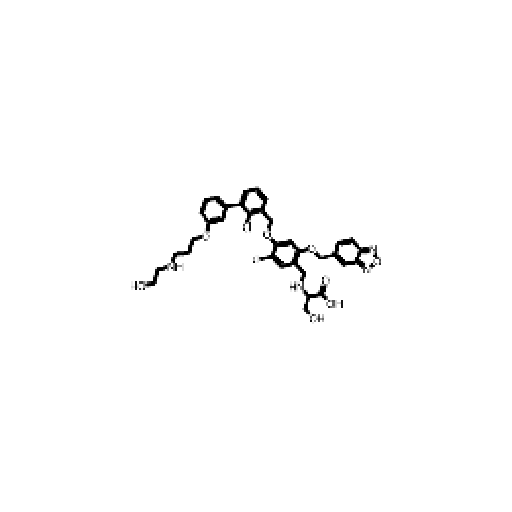 O=C(O)C(CO)NCc1cc(Cl)c(OCc2cccc(-c3cccc(OCCCNCCO)c3)c2Cl)cc1OCc1ccc2nonc2c1